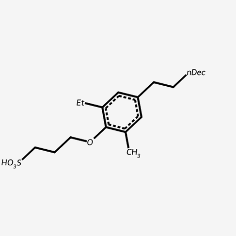 CCCCCCCCCCCCc1cc(C)c(OCCCS(=O)(=O)O)c(CC)c1